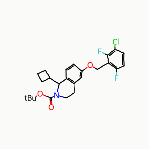 CC(C)(C)OC(=O)N1CCc2cc(OCc3c(F)ccc(Cl)c3F)ccc2C1C1CCC1